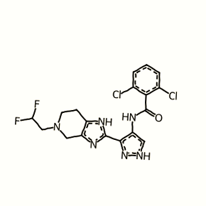 O=C(Nc1c[nH]nc1-c1nc2c([nH]1)CCN(CC(F)F)C2)c1c(Cl)cccc1Cl